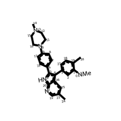 CNc1cc(-c2c(-c3ccc(N4CCN(C)CC4)cc3)[nH]c3ncc(C)cc23)ccc1C